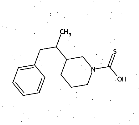 CC(Cc1ccccc1)C1CCCN(C(O)=S)C1